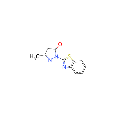 CC1=NN(c2nc3ccccc3s2)C(=O)C1